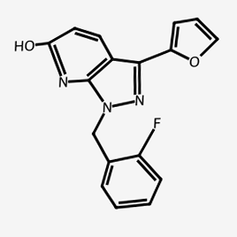 Oc1ccc2c(-c3ccco3)nn(Cc3ccccc3F)c2n1